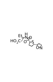 CC[C@@H](CC(=O)O)NS(=O)(=O)c1ccc(-c2ccno2)s1